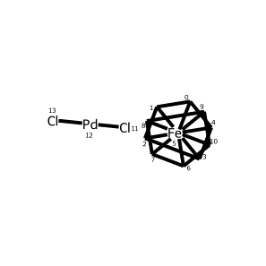 [CH]12[CH]3[CH]4[CH]5[CH]1[Fe]23451678[CH]2[CH]1[CH]6[CH]7[CH]28.[Cl][Pd][Cl]